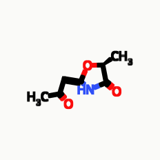 CC(=O)/C=C1\NC(=O)[C@H](C)O1